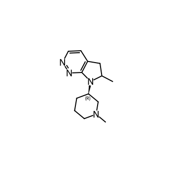 CC1Cc2ccnnc2N1[C@@H]1CCCN(C)C1